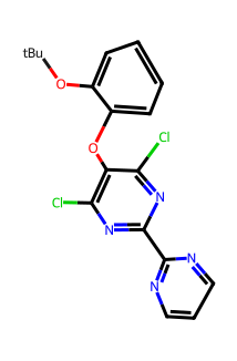 CC(C)(C)Oc1ccccc1Oc1c(Cl)nc(-c2ncccn2)nc1Cl